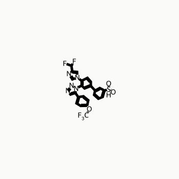 O=[SH](=O)c1cccc(-c2ccc(-n3cnc(C(F)F)c3)c(-n3nncc3-c3ccc(OC(F)(F)F)cc3)c2)c1